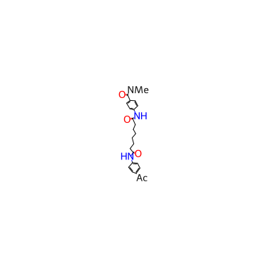 CNC(=O)c1ccc(NC(=O)CCCCCCC(=O)Nc2ccc(C(C)=O)cc2)cc1